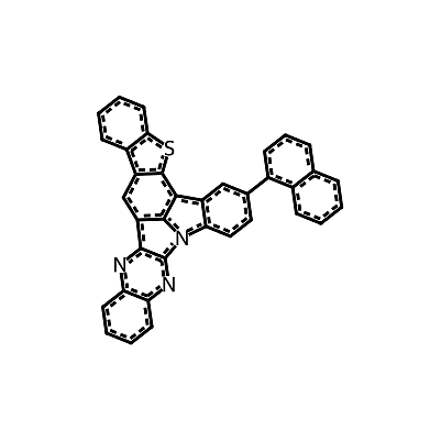 c1ccc2c(-c3ccc4c(c3)c3c5sc6ccccc6c5cc5c6nc7ccccc7nc6n4c53)cccc2c1